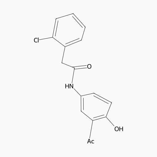 CC(=O)c1cc(NC(=O)Cc2ccccc2Cl)ccc1O